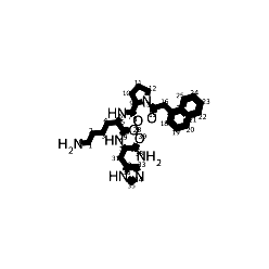 NCCCCC(NC(=O)C1CCCN1C(=O)Cc1cccc2ccccc12)C(=O)NC(Cc1cnc[nH]1)C(N)=O